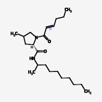 CCC/C=C/C(=O)N1CC(C)C[C@H]1C(=O)NC(C)CCCCCCCC